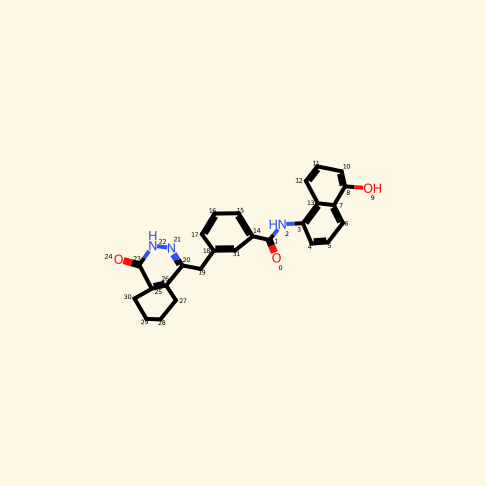 O=C(Nc1cccc2c(O)cccc12)c1cccc(Cc2n[nH]c(=O)c3c2CCCC3)c1